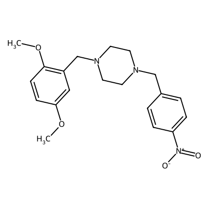 COc1ccc(OC)c(CN2CCN(Cc3ccc([N+](=O)[O-])cc3)CC2)c1